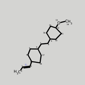 C/C=C/C1CCC(CCC2CCC(OC)CC2)CC1